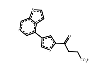 O=C(O)CCC(=O)c1cc(-c2cncc3sccc23)cs1